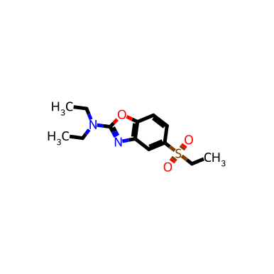 CCN(CC)c1nc2cc(S(=O)(=O)CC)ccc2o1